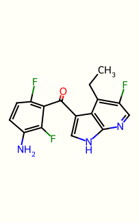 CCc1c(F)cnc2[nH]cc(C(=O)c3c(F)ccc(N)c3F)c12